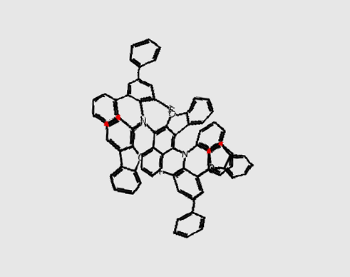 Fc1cc(-c2ccccc2)cc(-c2ccccc2)c1N(c1cccc2c1oc1ccccc12)c1c2ccccc2c(N(c2c(F)cc(-c3ccccc3)cc2-c2ccccc2)c2cccc3c2oc2ccccc23)c2c1oc1ccccc12